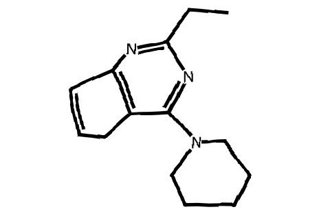 CCc1nc2c(c(N3CCCCC3)n1)CC=C2